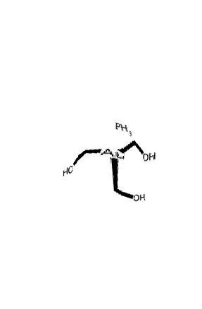 O[CH2][Au]([CH2]O)[CH2]O.P